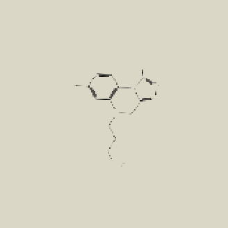 COCCCN1Cc2nnc(C)n2-c2ccc(Cl)cc21